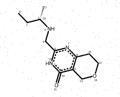 CC[C@H](C)NCc1nc2c(c(=O)[nH]1)COCC2